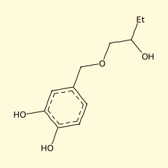 CCC(O)COCc1ccc(O)c(O)c1